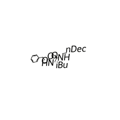 CCCCCCCCCCCCNC(=O)[C@@H](NC(=O)OCc1ccccc1)[C@@H](C)CC